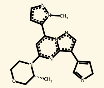 C[C@@H]1COCCN1c1cc(-c2ccnn2C)n2ncc(C3=CCN=C3)c2n1